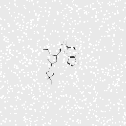 CCC1CC(N2CC(F)(F)C2)CC1c1nnc2cnc3[nH]ccc3n12